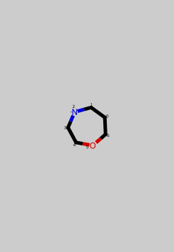 C1C[N]CCOC1